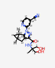 CC(CO)(CO)NC(=O)c1nn(-c2cc(C#N)ccn2)c2c1C[C@@H]1C[C@H]21